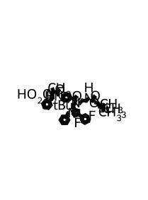 CC(C(=O)Nc1ccc(C(=O)N(CCCNC(=O)OCC[Si](C)(C)C)C(c2cc(-c3cc(F)ccc3F)cn2Cc2ccccc2)C(C)(C)C)cc1)N(Cc1ccccc1)C(=O)O